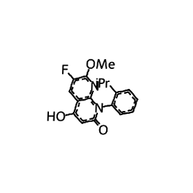 COc1nc2c(cc1F)c(O)cc(=O)n2-c1ccccc1C(C)C